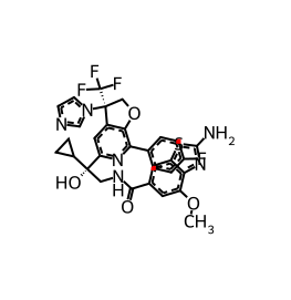 COc1cc(C(=O)NC[C@](O)(c2cc3c(c(-c4ccc(F)cc4)n2)OC[C@@]3(n2ccnc2)C(F)(F)F)C2CC2)cc2sc(N)nc12